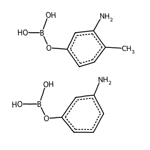 Cc1ccc(OB(O)O)cc1N.Nc1cccc(OB(O)O)c1